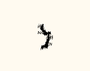 C#CCNC(=O)NC1(C)CCN(c2ccc(-c3cc(-c4cn(C)nc4C#CCNC(=O)NC4CCN(c5ccc(-c6cc(-c7cnn(C)c7)cn7ncc(C#N)c67)cn5)CC4)cn4ncc(C#N)c34)cn2)CC1